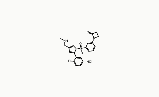 CNCc1cc(-c2ccccc2F)n(S(=O)(=O)c2cccc(N3CCC3=O)c2)c1.Cl